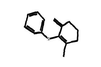 C=C1CCCC(C)=C1Sc1ccccc1